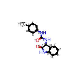 Cc1ccc(NC(=O)NC2C(=O)Nc3ccccc32)cc1